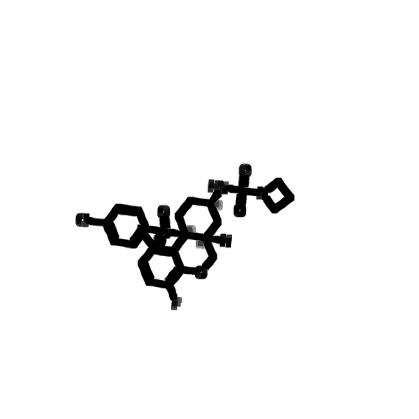 O=S(=O)(N[C@@H]1CC[C@@]2(S(=O)(=O)c3ccc(Cl)cc3)c3c(F)ccc(F)c3OC[C@H]2C1)N1CCC1